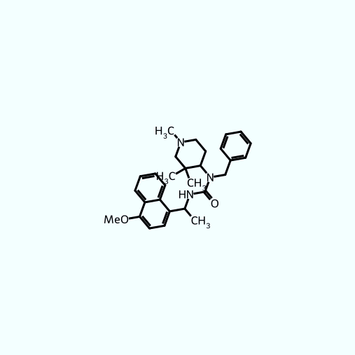 COc1ccc(C(C)NC(=O)N(Cc2ccccc2)C2CCN(C)CC2(C)C)c2ccccc12